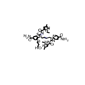 CCn1nc(C)cc1C(=O)/N=c1\sc2cc(C(N)=O)cc(OCCCO)c2n1C/C=C/Cn1c(NC(=O)c2cc(C)nn2CC)nc2cc(C(N)=O)cnc21